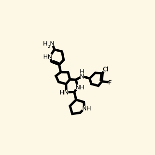 NC1CCC(C2CCC3NC(C4CCCNC4)NC(NC4CCC(F)=C(Cl)C4)C3C2)=CN1